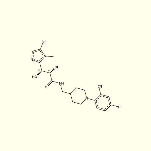 Cn1c(Br)cnc1[C@H](O)[C@@H](O)C(=O)NCC1CCN(c2ccc(F)cc2C#N)CC1